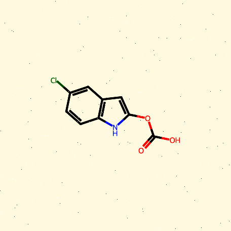 O=C(O)Oc1cc2cc(Cl)ccc2[nH]1